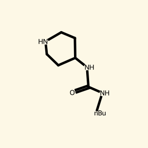 CCCCNC(=O)NC1CCNCC1